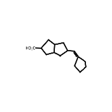 O=C(O)C1CC2CC(C=C3CCCC3)CC2C1